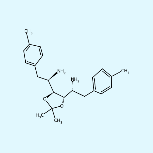 Cc1ccc(C[C@@H](N)[C@@H]2OC(C)(C)O[C@H]2[C@H](N)Cc2ccc(C)cc2)cc1